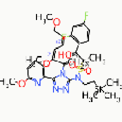 C=C(/C(=C\C=C/COC)OC)n1c(-c2cccc(OC)n2)nnc1N(CC[Si](C)(C)C)S(=O)(=O)[C@@H](C)[C@H](O)c1ccc(F)cc1F